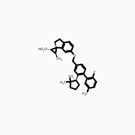 Cc1ccc(F)c(-c2ccc(COc3ccc4c(c3)[C@]3(CC4)[C@@H](C)[C@@H]3C(=O)O)cc2[C@H]2CCCC2(C)C)c1